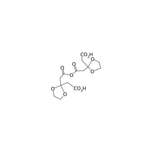 O=C(O)CC1(CC(=O)OC(=O)CC2(CC(=O)O)OCCO2)OCCO1